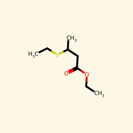 CCOC(=O)CC(C)SCC